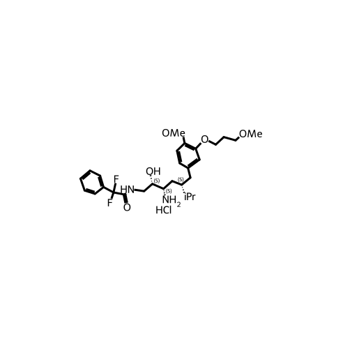 COCCCOc1cc(C[C@@H](C[C@H](N)[C@@H](O)CNC(=O)C(F)(F)c2ccccc2)C(C)C)ccc1OC.Cl